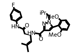 COc1cccc(OC)c1-c1cc(C(=O)N[C@@H](C=C(C)C)CC(=O)Nc2ccc(F)cc2)nn1CC(C)C